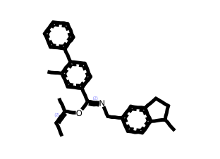 C/C=C(/C)O/C(=N\Cc1ccc2c(c1)CCC2C)c1ccc(-c2ccccc2)c(C)c1